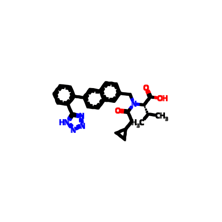 CC(C)[C@@H](C(=O)O)N(Cc1ccc2cc(-c3ccccc3-c3nnn[nH]3)ccc2c1)C(=O)CC1CC1